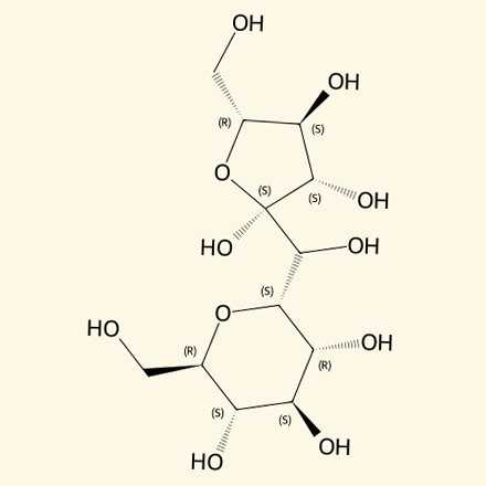 OC[C@H]1O[C@](O)(C(O)[C@H]2O[C@H](CO)[C@@H](O)[C@H](O)[C@H]2O)[C@@H](O)[C@@H]1O